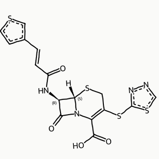 O=C(C=Cc1ccsc1)N[C@@H]1C(=O)N2C(C(=O)O)=C(Sc3nncs3)CS[C@@H]12